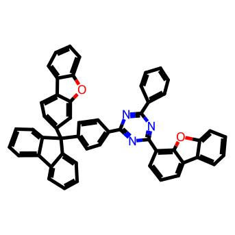 c1ccc(-c2nc(-c3ccc(C4(c5ccc6c(c5)oc5ccccc56)c5ccccc5-c5ccccc54)cc3)nc(-c3cccc4c3oc3ccccc34)n2)cc1